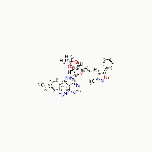 Cc1noc(-c2ccccc2)c1CSC[C@H]1O[C@@H](n2nc(-c3ccc(CC#N)cc3)c3c(N)ncnc32)[C@@H]2OC(C)(C)O[C@@H]21